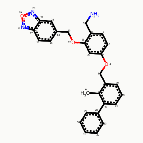 Cc1c(COc2ccc(CN)c(OCc3ccc4nonc4c3)c2)cccc1-c1ccccc1